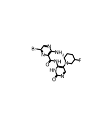 Nc1ncc(Br)nc1C(=O)Nc1[nH]c(=O)ncc1N1CCCC(F)C1